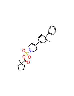 Cc1cc(C2=CCN(S(=O)(=O)OC(=O)C3(C)CCCC3)CC2)ccc1-c1ccccc1